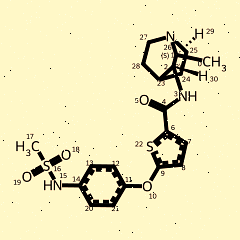 C[C@H]1[C@H](NC(=O)c2ccc(Oc3ccc(NS(C)(=O)=O)cc3)s2)C2CCN1CC2